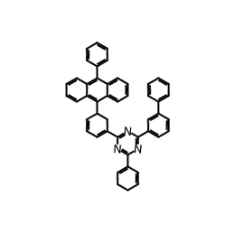 C1=CC(c2c3ccccc3c(-c3ccccc3)c3ccccc23)CC(c2nc(C3=CCCC=C3)nc(-c3cccc(-c4ccccc4)c3)n2)=C1